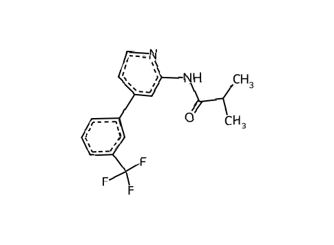 CC(C)C(=O)Nc1cc(-c2cccc(C(F)(F)F)c2)ccn1